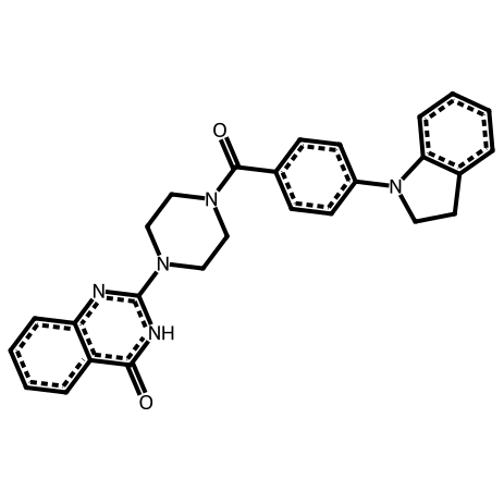 O=C(c1ccc(N2CCc3ccccc32)cc1)N1CCN(c2nc3ccccc3c(=O)[nH]2)CC1